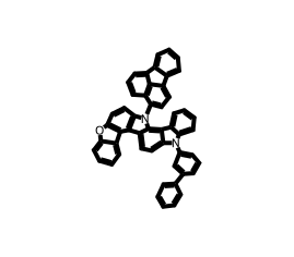 c1ccc(-c2cccc(-n3c4ccccc4c4c3ccc3c5c6c(ccc5n(-c5ccc7c8c(cccc58)-c5ccccc5-7)c34)oc3ccccc36)c2)cc1